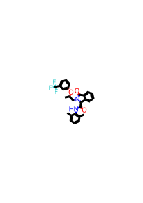 Cc1cccc(C)c1NC(=O)C1c2ccccc2C(=O)N1CC(C)Oc1cccc(C(F)(F)F)c1